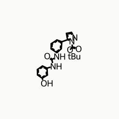 CC(C)(C)OC(=O)n1nccc1-c1cccc(NC(=O)Nc2cccc(O)c2)c1